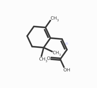 CC1=C(/C=C\C(=O)O)C(C)(C)CCC1